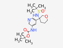 CC(C)(C)OC(=O)Nc1cncc(C2(N[S+]([O-])C(C)(C)C)CCCOC2)c1